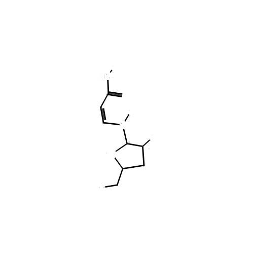 CN(/C=C\C(=O)NC=O)C1OC(CO)CC1F